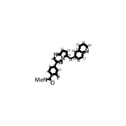 CNC(=O)c1ccc(-c2cnc3ccc(Cc4ccc5ncccc5c4)n3n2)cc1F